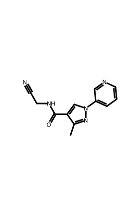 Cc1nn(-c2cccnc2)cc1C(=O)NCC#N